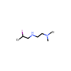 CCC(I)CNCCN(C)C(C)C